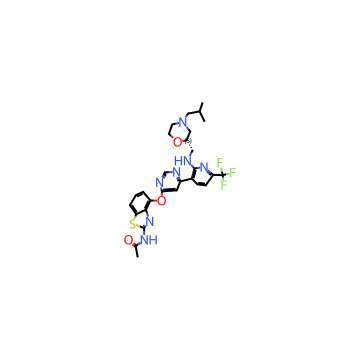 CC(=O)Nc1nc2c(Oc3cc(-c4ccc(C(F)(F)F)nc4NC[C@H]4CN(CC(C)C)CCO4)ncn3)cccc2s1